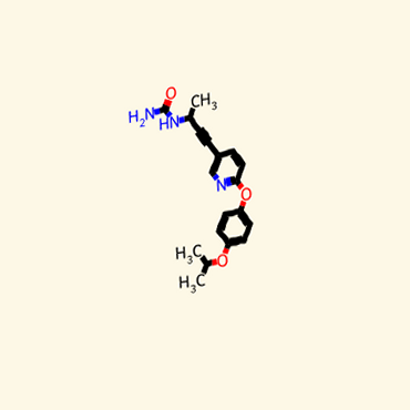 CC(C#Cc1ccc(Oc2ccc(OC(C)C)cc2)nc1)NC(N)=O